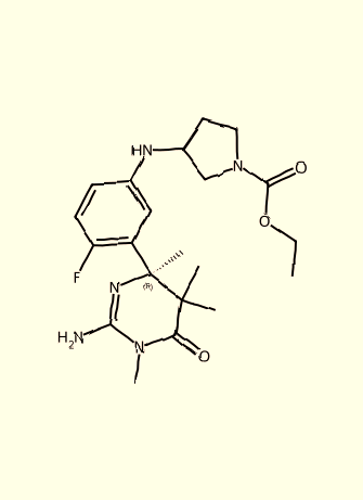 CCOC(=O)N1CCC(Nc2ccc(F)c([C@]3(C)N=C(N)N(C)C(=O)C3(C)C)c2)C1